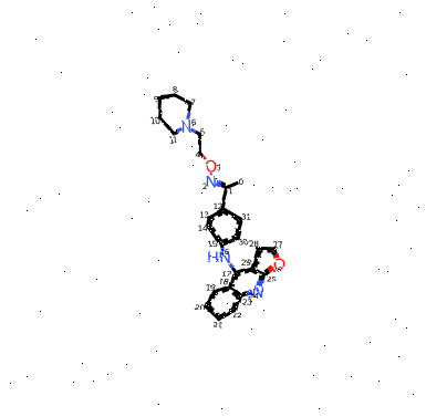 C/C(=N\OCCN1CCCCC1)c1ccc(Nc2c3ccccc3nc3occc23)cc1